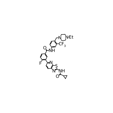 CCN1CCN(Cc2ccc(NC(=O)c3ccc(F)c(-c4ccc5nc(NC(=O)C6CC6)sc5n4)c3)cc2C(F)(F)F)CC1